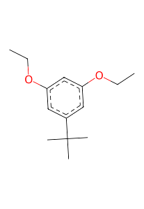 CCOc1cc(OCC)cc(C(C)(C)C)c1